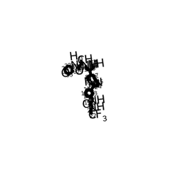 CC(N/C=C(\C=N)c1cnn2c(-c3cccc(NC(=O)NCC(F)(F)F)c3)cnc2c1)C(=O)NC1CCOCC1